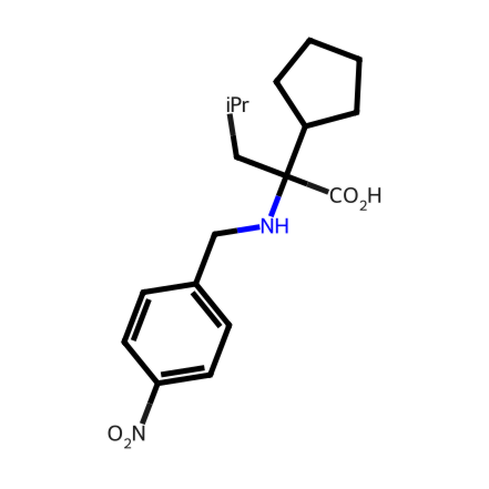 CC(C)CC(NCc1ccc([N+](=O)[O-])cc1)(C(=O)O)C1CCCC1